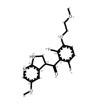 COCCOc1ccc(F)c(C(=O)C2CNc3ncc(OC)cc32)c1F